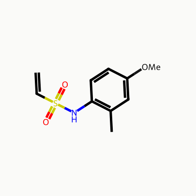 C=CS(=O)(=O)Nc1ccc(OC)cc1C